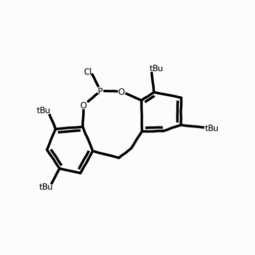 CC(C)(C)c1cc2c(c(C(C)(C)C)c1)OP(Cl)Oc1c(cc(C(C)(C)C)cc1C(C)(C)C)CC2